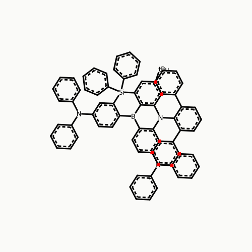 CC(C)(C)c1cc2c3c(c1)[Si](c1ccccc1)(c1ccccc1)c1cc(N(c4ccccc4)c4ccccc4)ccc1B3c1ccc(N(c3ccccc3)c3ccccc3)cc1N2c1c(-c2ccccc2)cccc1-c1ccccc1